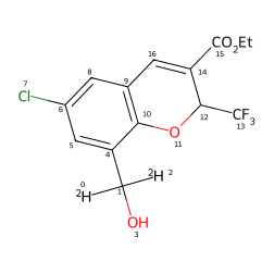 [2H]C([2H])(O)c1cc(Cl)cc2c1OC(C(F)(F)F)C(C(=O)OCC)=C2